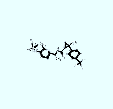 Cc1nc([C@@H](C)NC(=O)[C@H]2C[C@]2(C)c2ccc(C(F)(F)F)cc2)ccc1NS(C)(=O)=O